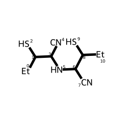 CCC(S)C(C#N)NC(C#N)C(S)CC